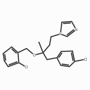 CC(CCn1ccnc1)(Cc1ccc(Cl)cc1)OCc1ccccc1Cl